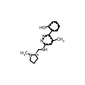 Cc1cc(NC[C@H]2CCCN2C)nnc1-c1ccccc1O